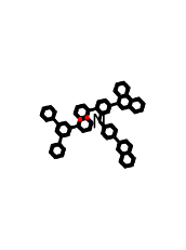 c1ccc(-c2cc(-c3ccccc3)cc(-c3ccc(N(c4ccc(-c5ccc6ccccc6c5)cc4)c4cc(-c5cc6ccccc6c6ccccc56)ccc4-c4ccccc4)cc3)c2)cc1